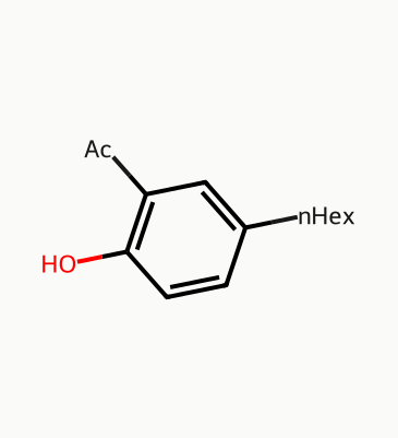 CCCCCCc1ccc(O)c(C(C)=O)c1